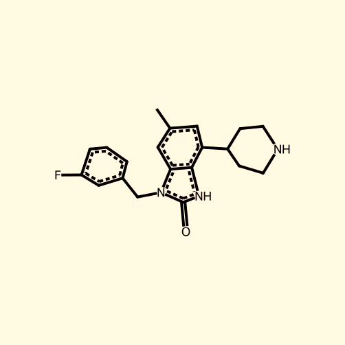 Cc1cc(C2CCNCC2)c2[nH]c(=O)n(Cc3cccc(F)c3)c2c1